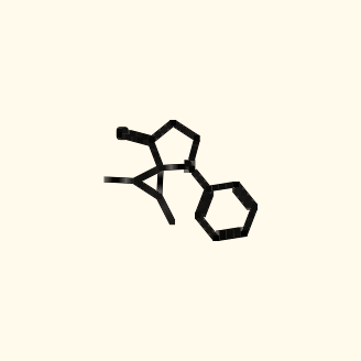 CC1C(C)C12C(=O)CCN2c1ccccc1